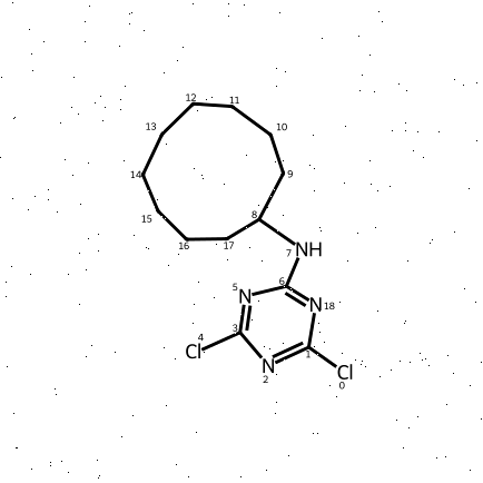 Clc1nc(Cl)nc(NC2CCCCCCCCC2)n1